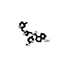 COc1ccc(N(Cc2cnn(Cc3cc(C)ccn3)c2)C(=O)C2CCCc3c(O)cccc32)cn1